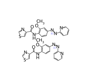 COc1cc(/N=N/c2ccccn2)ccc1NC(=O)c1cscn1.COc1cc(/N=N\c2ccccn2)ccc1NC(=O)c1cscn1